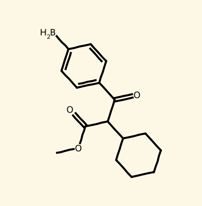 Bc1ccc(C(=O)C(C(=O)OC)C2CCCCC2)cc1